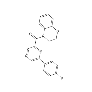 O=C(c1cncc(-c2ccc(F)cc2)n1)N1CCOc2ccccc21